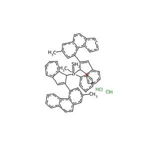 Cc1cc(C2=Cc3ccccc3[CH]2[Zr]([CH3])(=[SiH2])([c]2ccccc2)[CH]2C(c3cc(C)cc4ccc5ccccc5c34)=Cc3ccccc32)c2c(ccc3ccccc32)c1.Cl.Cl